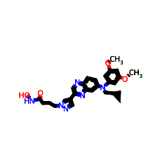 COc1cc(OC)cc(N(CC2CC2)c2ccc3ncc(-c4cnn(CCCC(=O)NO)c4)nc3c2)c1